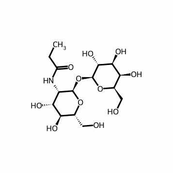 CCC(=O)N[C@@H]1[C@@H](O[C@@H]2O[C@H](CO)[C@H](O)[C@H](O)[C@H]2O)O[C@H](CO)[C@@H](O)[C@@H]1O